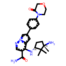 CC1(C)[C@H](Nc2c(C(N)=O)cnn3cc(-c4ccc(N5CCOCC5=O)cc4)cc23)CC[C@]1(C)N